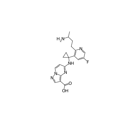 CC(N)CCc1ncc(F)cc1C1(Nc2ccn3ncc(C(=O)O)c3n2)CC1